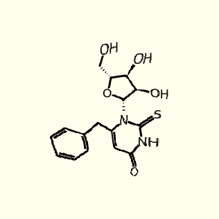 O=c1cc(Cc2ccccc2)n([C@@H]2O[C@H](CO)[C@@H](O)[C@H]2O)c(=S)[nH]1